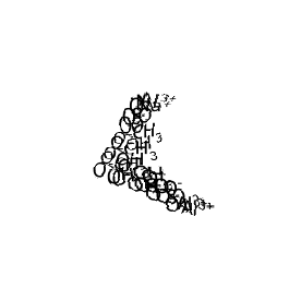 CC(O)C(=O)[O-].CC(O)C(=O)[O-].CC(O)C(=O)[O-].CC(O)C(=O)[O-].O=S(=O)([O-])[O-].O=S(=O)([O-])[O-].O=S(=O)([O-])[O-].[Al+3].[Al+3].[Al+3].[Na+]